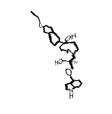 CCCOc1ccc2cc(C3(O)CCN(C[C@H](O)COc4cccc5[nH]ccc45)CC3)ccc2c1